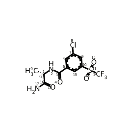 C[C@H](NC(=O)c1cc(Cl)cc(S(=O)(=O)C(F)(F)F)c1)C(N)=O